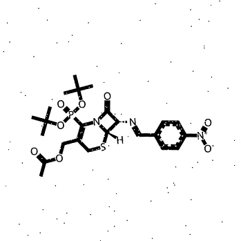 CC(=O)OCC1=C(P(=O)(OC(C)(C)C)OC(C)(C)C)N2C(=O)[C@H](N=Cc3ccc([N+](=O)[O-])cc3)[C@@H]2SC1